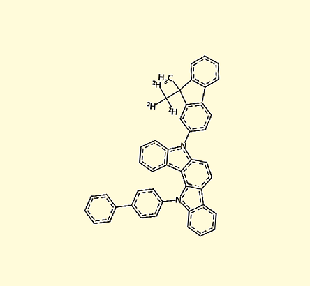 [2H]C([2H])([2H])C1(C)c2ccccc2-c2ccc(-n3c4ccccc4c4c3ccc3c5ccccc5n(-c5ccc(-c6ccccc6)cc5)c34)cc21